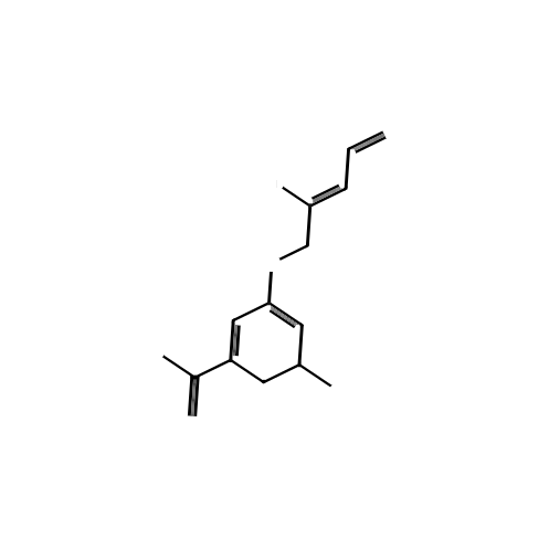 C=C/C=C(\CC)COC1=CC(C)CC(C(=C)C)=C1